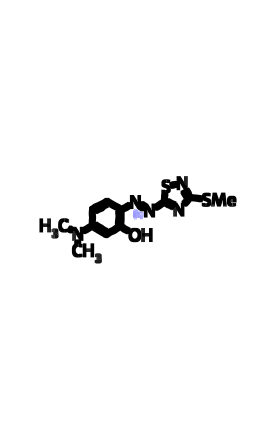 CSc1nsc(/N=N/c2ccc(N(C)C)cc2O)n1